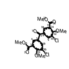 COC(=O)c1cc(C(=O)c2cc(Cl)c(OC)c(C(=O)OC)c2)cc(Cl)c1OC